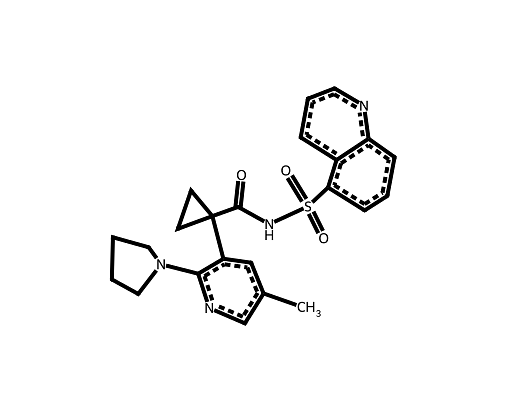 Cc1cnc(N2CCCC2)c(C2(C(=O)NS(=O)(=O)c3cccc4ncccc34)CC2)c1